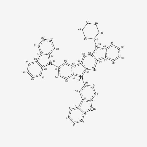 c1ccc2c(c1)oc1ccc(-n3c4ccc(-n5c6ccccc6c6ccccc65)cc4c4cc5c(cc43)c3ccccc3n5C3CCCCC3)cc12